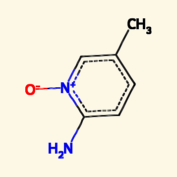 Cc1ccc(N)[n+]([O-])c1